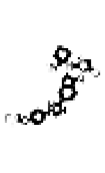 CC(C)c1ccccc1N=C1SCC(=O)N1N=C1CCc2cc(-c3ncn(-c4ccc(OC(F)(F)F)cc4)n3)ccc21